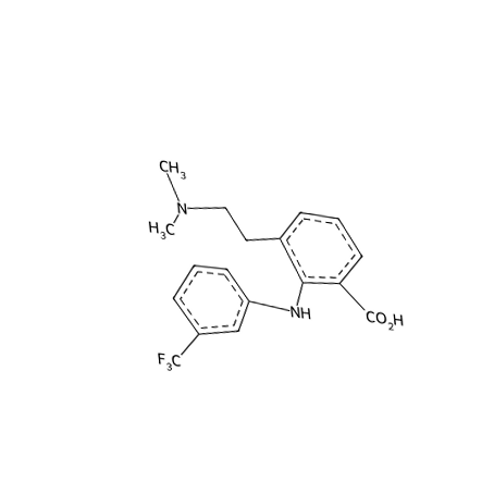 CN(C)CCc1cccc(C(=O)O)c1Nc1cccc(C(F)(F)F)c1